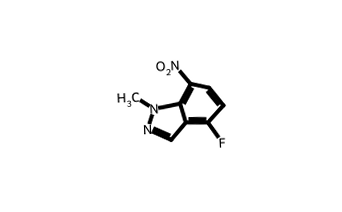 Cn1ncc2c(F)ccc([N+](=O)[O-])c21